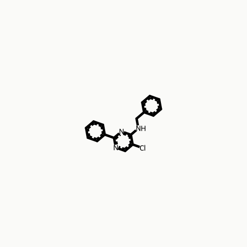 Clc1cnc(-c2ccccc2)nc1NCc1ccccc1